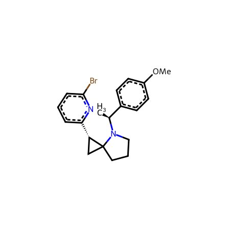 COc1ccc([C@H](C)N2CCCC23C[C@@H]3c2cccc(Br)n2)cc1